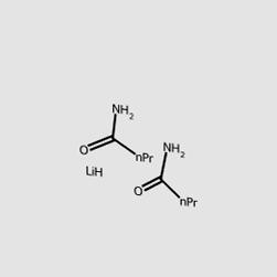 CCCC(N)=O.CCCC(N)=O.[LiH]